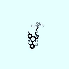 C[Si](C)(C)CCOCn1ncc2c1-c1cc(Cl)ncc1NC(c1c(F)cccc1Cl)N2